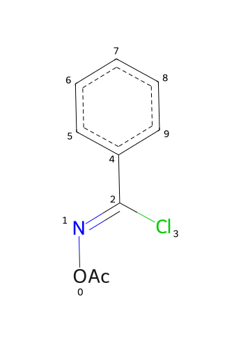 CC(=O)ON=C(Cl)c1ccccc1